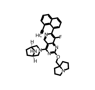 C#Cc1cccc2cccc(-c3ncc4c(N5C[C@H]6CC[C@@H](C5)N6)nc(OCC56CCCN5CCC6)nc4c3F)c12